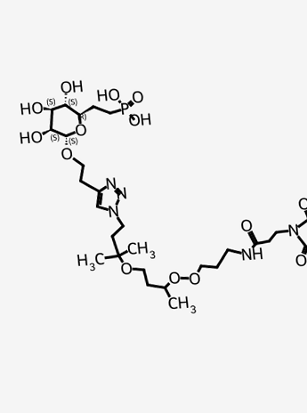 CC(CCOC(C)(C)CCn1cc(CCO[C@H]2O[C@H](CCP(=O)(O)O)[C@@H](O)[C@H](O)[C@@H]2O)nn1)OOCCCNC(=O)CCN1C(=O)C=CC1=O